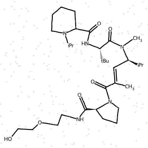 C/C(=C\[C@H](C(C)C)N(C)C(=O)[C@@H](NC(=O)C1CCCCN1C(C)C)C(C)(C)C)C(=O)N1CCC[C@H]1C(=O)NCCOCCO